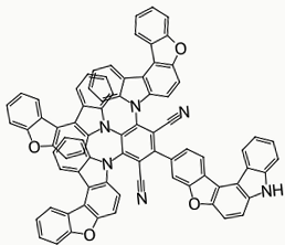 N#Cc1c(-c2ccc3c(c2)oc2ccc4[nH]c5ccccc5c4c23)c(C#N)c(-n2c3ccccc3c3c4c(ccc32)oc2ccccc24)c(-n2c3ccccc3c3c4c(ccc32)oc2ccccc24)c1-n1c2ccccc2c2c3c(ccc21)oc1ccccc13